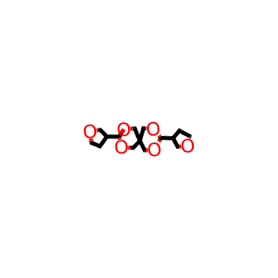 C1CC(C2OCC3(CO2)COC(C2CCOC2)OC3)CO1